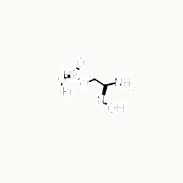 CC(C)O[PH](=O)OCC(N)=NO